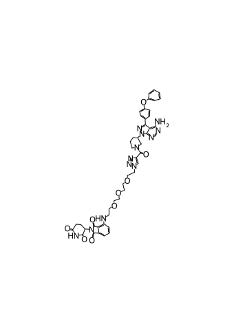 Nc1ncnc2c1c(-c1ccc(Oc3ccccc3)cc1)nn2C1CCCN(C(=O)c2cn(CCOCCOCCOCCNc3cccc4c3C(=O)N(C3CCC(=O)NC3=O)C4=O)nn2)C1